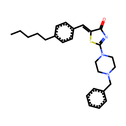 CCCCCc1ccc(/C=C2\SC(N3CCN(Cc4ccccc4)CC3)=NC2=O)cc1